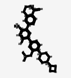 CN(C)Cc1cc(-c2cc(-c3ccc4c(c3)CCNC4=O)c(N)nc2F)ccc1N1CCN(C2CCC2)CC1